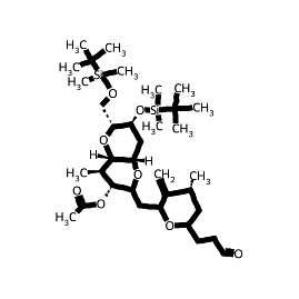 C=C1C(CC2O[C@H]3C[C@@H](O[Si](C)(C)C(C)(C)C)[C@@H](CO[Si](C)(C)C(C)(C)C)O[C@H]3[C@H](C)[C@H]2OC(C)=O)OC(CCC=O)C[C@H]1C